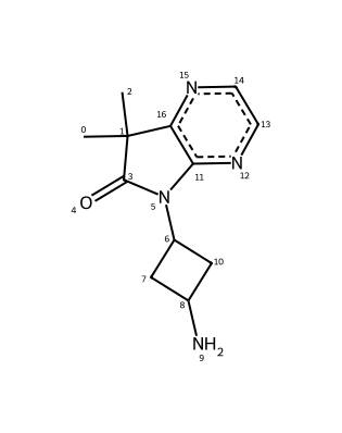 CC1(C)C(=O)N(C2CC(N)C2)c2nccnc21